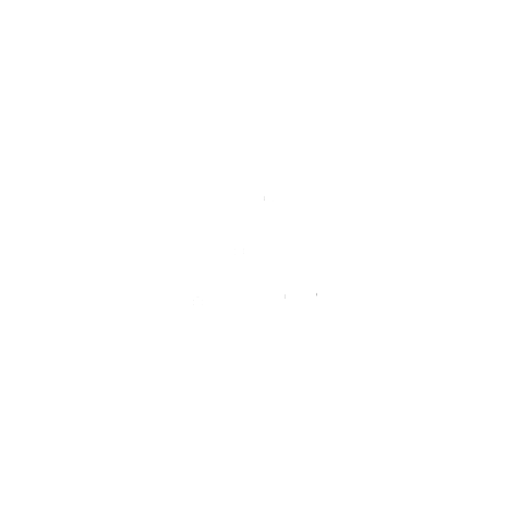 C1COCCO1.O=C1C=CC(=O)C=C1